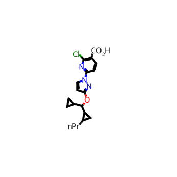 CCCC1CC1C(Oc1ccn(-c2ccc(C(=O)O)c(Cl)n2)n1)C1CC1